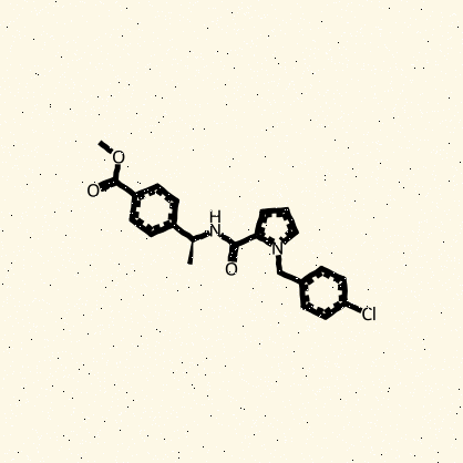 COC(=O)c1ccc([C@H](C)NC(=O)c2cccn2Cc2ccc(Cl)cc2)cc1